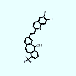 OC1c2cc(C=Cc3ccc4cc(F)c(Cl)cc4n3)ccc2C=Cc2c1cccc2C(F)(F)F